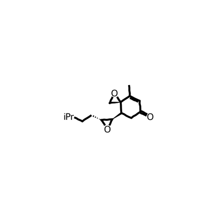 CC1=CC(=O)CC([C@H]2O[C@@H]2CCC(C)C)[C@@]12CO2